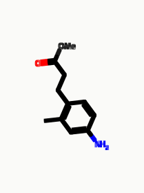 COC(=O)CCc1ccc(N)cc1C